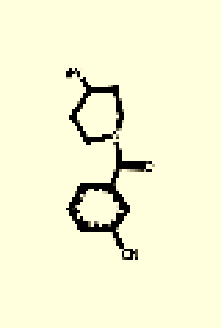 CC(C)C1CCN(C(=O)c2cccc(C#N)c2)CC1